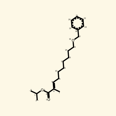 [CH2]C([CH2])OC(=O)/C(C)=C/CCCCCCCOCc1ccccc1